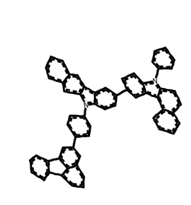 c1ccc(-n2c3ccc(-c4ccc5c(c4)c4cc6ccccc6cc4n5-c4ccc(-c5cc6c7c(cccc7c5)-c5ccccc5-6)cc4)cc3c3c4ccccc4ccc32)cc1